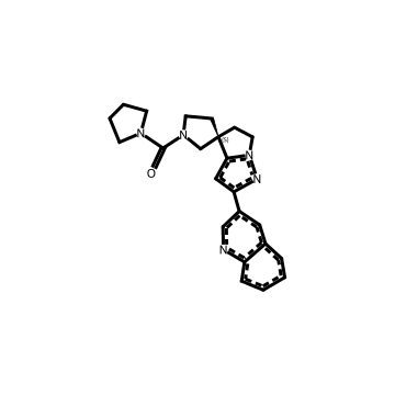 O=C(N1CCCC1)N1CC[C@]2(CCn3nc(-c4cnc5ccccc5c4)cc32)C1